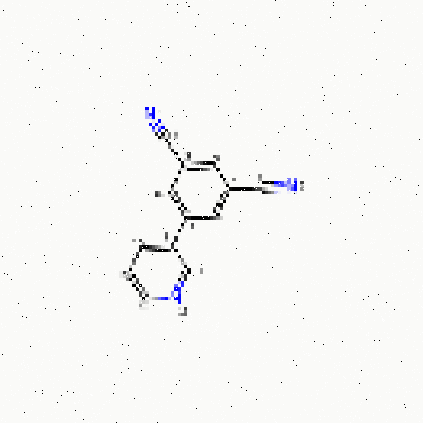 N#Cc1cc(C#N)cc(-c2c[c]cnc2)c1